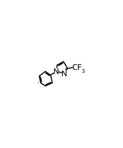 FC(F)(F)c1ccn(-c2cc[c]cc2)n1